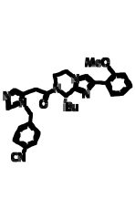 [C-]#[N+]c1ccc(Cn2cncc2CC(=O)N2CCn3cc(-c4ccccc4OC)nc3[C@@H]2C(C)CC)cc1